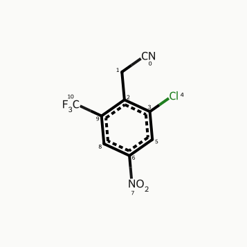 N#CCc1c(Cl)cc([N+](=O)[O-])cc1C(F)(F)F